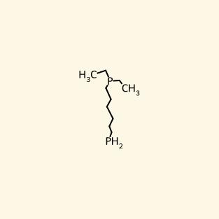 CCP(CC)CCCCCCP